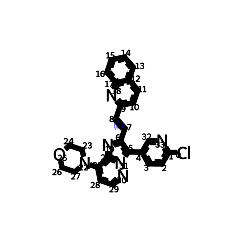 Clc1ccc(-c2c(/C=C/c3ccc4ccccc4n3)nc3c(N4CCOCC4)ccnn23)cn1